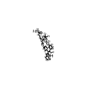 CC/C(=C(/c1ccc(OCCN(C/C=C/C(=O)NC)C(=O)OC(C)(C)C)nc1)c1cc2cccnc2[nH]1)c1cccc(OC)c1